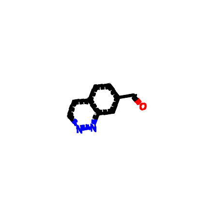 O=[C]c1ccc2ccnnc2c1